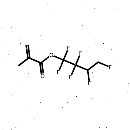 C=C(C)C(=O)OC(F)(F)C(F)(F)C(F)CF